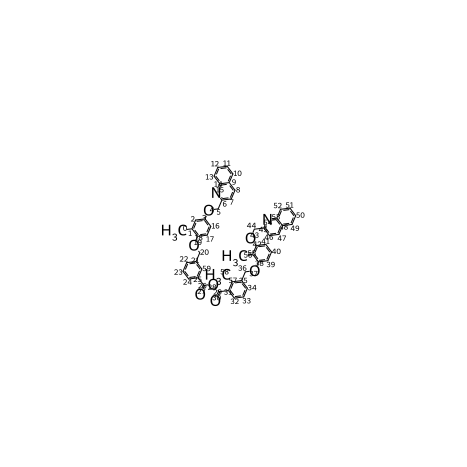 Cc1cc(OCc2ccc3ccccc3n2)ccc1OCc1cccc(C(=O)OC(=O)c2cccc(COc3cccc(OCc4ccc5ccccc5n4)c3C)c2C)c1